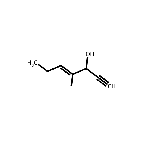 C#CC(O)C(F)=CCC